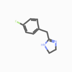 Fc1ccc(CC2=NCCN2)cc1